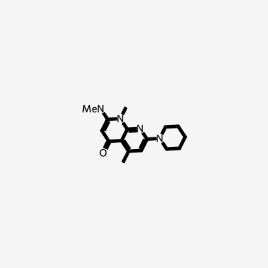 CNc1cc(=O)c2c(C)cc(N3CCCCC3)nc2n1C